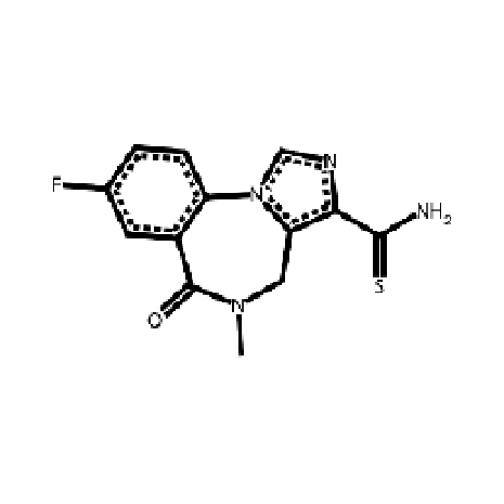 CN1Cc2c(C(N)=S)ncn2-c2ccc(F)cc2C1=O